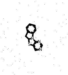 c1ccc2c(c1)CC1Sc3cncnc3N21